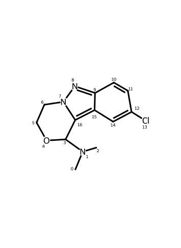 CN(C)C1OCCn2nc3ccc(Cl)cc3c21